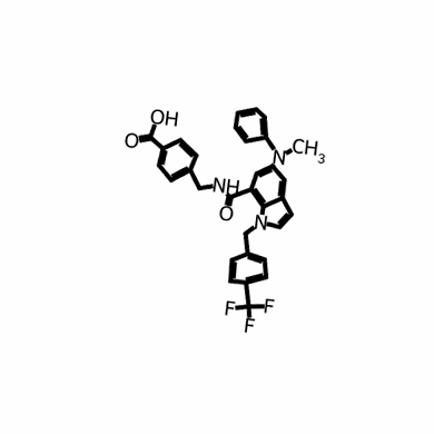 CN(c1ccccc1)c1cc(C(=O)NCc2ccc(C(=O)O)cc2)c2c(ccn2Cc2ccc(C(F)(F)F)cc2)c1